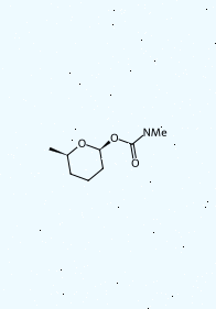 CNC(=O)O[C@H]1CCC[C@@H](C)O1